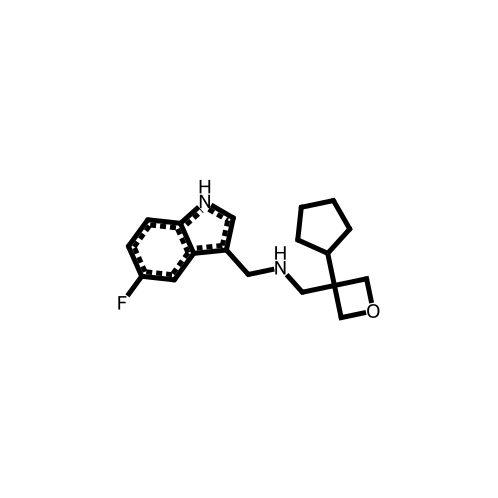 Fc1ccc2[nH]cc(CNCC3(C4CCCC4)COC3)c2c1